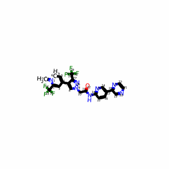 C=N/C(=C\C(=C/C)c1cn(CC(=O)Nc2ccc(-c3cnccn3)cn2)nc1C(F)(F)F)C(F)(F)F